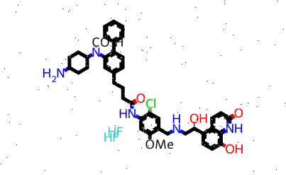 COc1cc(NC(=O)CCCc2ccc(-c3ccccc3)c(N(C(=O)O)C3CCC(N)CC3)c2)c(Cl)cc1CNC[C@H](O)c1ccc(O)c2[nH]c(=O)ccc12.F.F